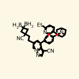 BC1(B)CC(C#N)(CCc2cc(-c3ccc(N4CC5CC(C4)N5Cc4ccc(CC)nc4)nc3)c3c(C#N)cnn3c2)C1